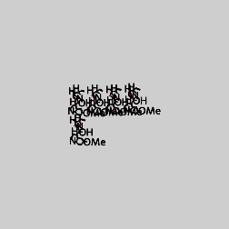 C=C[C@H]1C[N@]2CC[C@H]1C[C@@H]2[C@@H](O)c1ccnc2ccc(OC)cc12.C=C[C@H]1C[N@]2CC[C@H]1C[C@@H]2[C@@H](O)c1ccnc2ccc(OC)cc12.C=C[C@H]1C[N@]2CC[C@H]1C[C@@H]2[C@@H](O)c1ccnc2ccc(OC)cc12.C=C[C@H]1C[N@]2CC[C@H]1C[C@@H]2[C@@H](O)c1ccnc2ccc(OC)cc12.C=C[C@H]1C[N@]2CC[C@H]1C[C@@H]2[C@@H](O)c1ccnc2ccc(OC)cc12